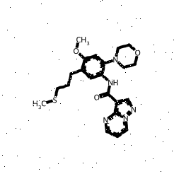 COc1cc(N2CCOCC2)c(NC(=O)c2cnn3cccnc23)cc1CCCSC